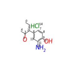 CCC(C(C)=O)c1ccc(O)c(N)c1.Cl